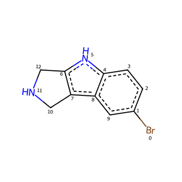 Brc1ccc2[nH]c3c(c2c1)CNC3